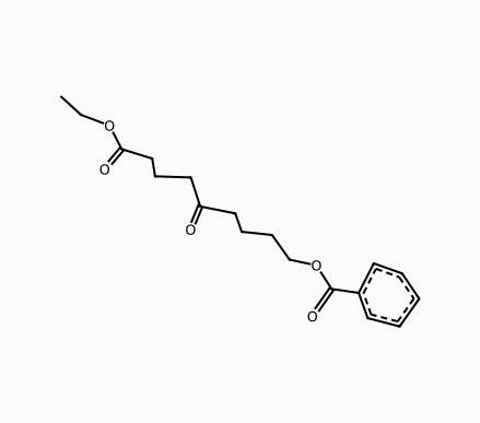 CCOC(=O)CCCC(=O)CCCCOC(=O)c1ccccc1